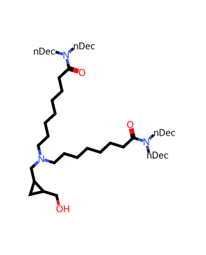 CCCCCCCCCCN(CCCCCCCCCC)C(=O)CCCCCCCN(CCCCCCCC(=O)N(CCCCCCCCCC)CCCCCCCCCC)CC1CC1CO